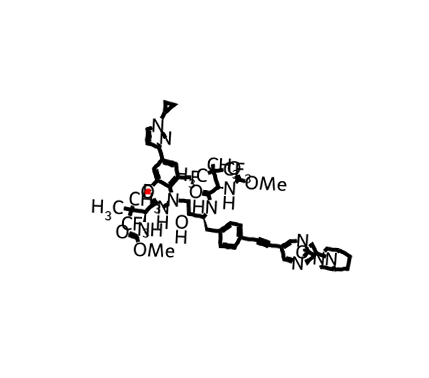 COC(=O)N[C@H](C(=O)N[C@@H](Cc1ccc(C#Cc2cnc(N3CC4CCC(C3)N4C3COC3)nc2)cc1)[C@@H](O)CN(NC(=O)[C@@H](NC(=O)OC)C(C)(C)C(F)(F)F)c1c(F)cc(-c2ccn(C3CC3)n2)cc1F)C(C)(C)C(F)(F)F